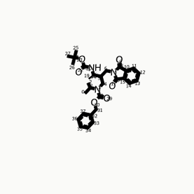 CC(C)N(CC(CN1C(=O)c2ccccc2C1=O)[C@@H](C)NC(=O)OC(C)(C)C)C(=O)OCc1ccccc1